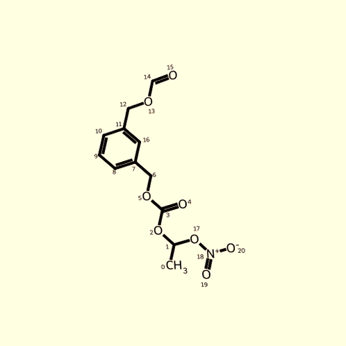 CC(OC(=O)OCc1cccc(COC=O)c1)O[N+](=O)[O-]